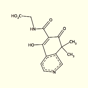 CC1(C)C(=O)C(C(=O)NCC(=O)O)=C(O)c2ccncc21